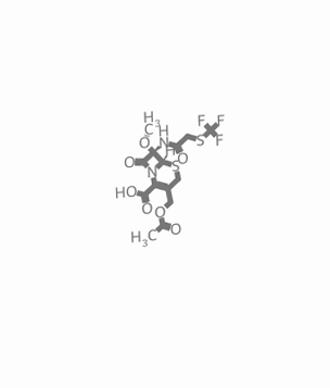 CO[C@@]1(NC(=O)CSC(F)(F)F)C(=O)N2C(C(=O)O)=C(COC(C)=O)CS[C@@H]21